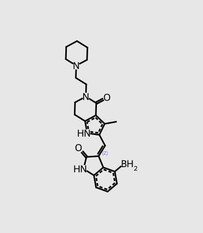 Bc1cccc2c1/C(=C/c1[nH]c3c(c1C)C(=O)N(CCN1CCCCC1)CC3)C(=O)N2